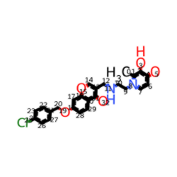 Cc1c(O)c(=O)ccn1CCNCc1coc2cc(OCc3ccc(Cl)cc3)ccc2c1=O